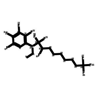 CCP(c1cc(F)c(F)c(F)c1F)C(F)(F)C(F)CCCCCCC(F)(F)F